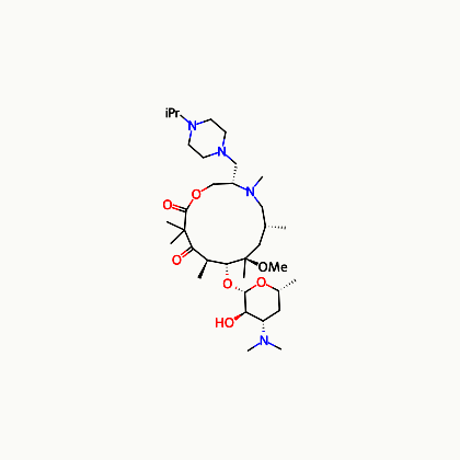 CO[C@]1(C)C[C@@H](C)CN(C)[C@@H](CN2CCN(C(C)C)CC2)COC(=O)C(C)(C)C(=O)[C@H](C)[C@H]1O[C@@H]1O[C@H](C)C[C@H](N(C)C)[C@H]1O